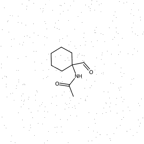 CC(=O)NC1([C]=O)CCCCC1